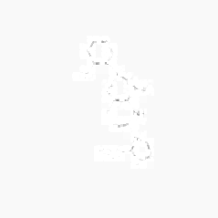 O=C(Nc1c(F)cc(-c2ccccc2Cl)cc1F)c1ccsc1C(=O)O